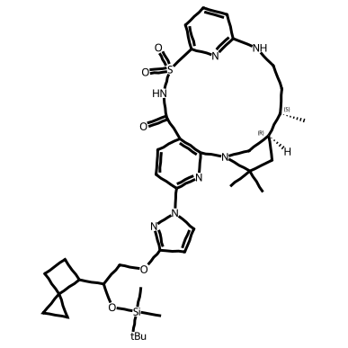 C[C@H]1CCNc2cccc(n2)S(=O)(=O)NC(=O)c2ccc(-n3ccc(OCC(O[Si](C)(C)C(C)(C)C)C4CCC45CC5)n3)nc2N2C[C@@H]1CC2(C)C